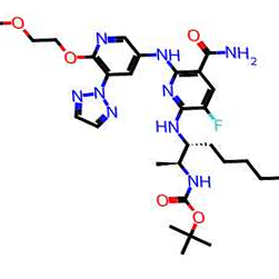 CCCCC[C@@H](Nc1nc(Nc2cnc(OCCOC)c(-n3nccn3)c2)c(C(N)=O)cc1F)[C@H](C)NC(=O)OC(C)(C)C